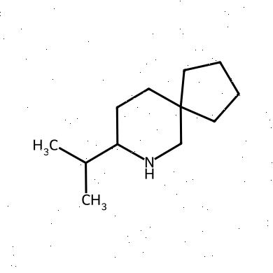 CC(C)C1CCC2(CCCC2)CN1